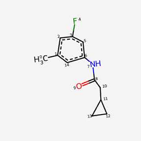 Cc1cc(F)cc(NC(=O)CC2CC2)c1